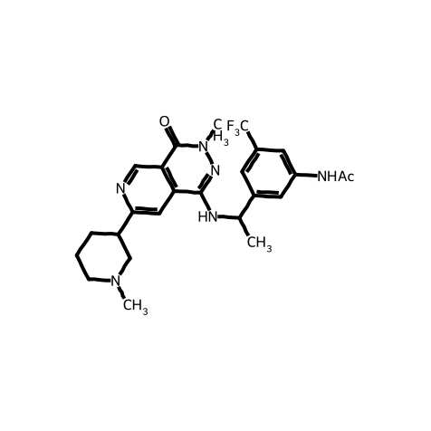 CC(=O)Nc1cc(C(C)Nc2nn(C)c(=O)c3cnc(C4CCCN(C)C4)cc23)cc(C(F)(F)F)c1